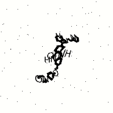 O=C1Nc2cc(CCOc3ccc(N4CCOCC4)cc3)ccc2Nc2cc(-c3cn(CCc4ccccn4)c4cnccc34)ccc21